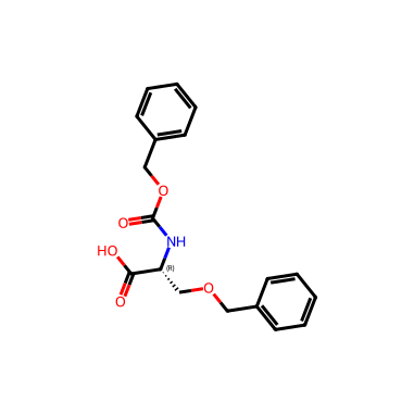 O=C(N[C@H](COCc1ccccc1)C(=O)O)OCc1ccccc1